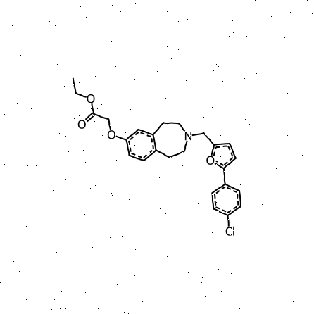 CCOC(=O)COc1ccc2c(c1)CCN(Cc1ccc(-c3ccc(Cl)cc3)o1)CC2